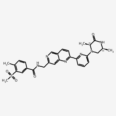 Cc1ccc(C(=O)NCc2cc3nc(-c4cccc(N5C[C@H](C)NC(=O)[C@@H]5C)n4)ccc3cn2)cc1S(C)(=O)=O